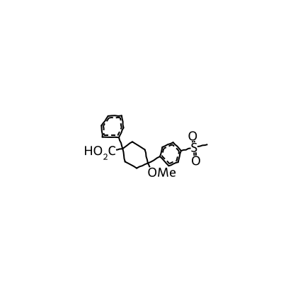 COC1(c2ccc(S(C)(=O)=O)cc2)CCC(C(=O)O)(c2ccccc2)CC1